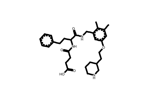 Cc1cc(OCCC2CCCNC2)cc(CNC(=O)C(CCc2ccccc2)NC(=O)CCC(=O)O)c1C